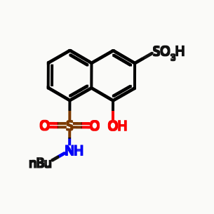 CCCCNS(=O)(=O)c1cccc2cc(S(=O)(=O)O)cc(O)c12